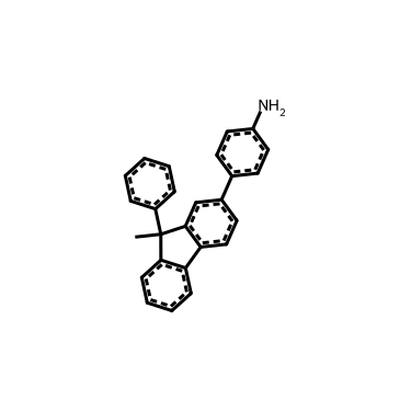 CC1(c2ccccc2)c2ccccc2-c2ccc(-c3ccc(N)cc3)cc21